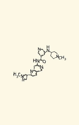 CN1CCC(Nc2cncc(C(=O)Nc3cc4nc(-c5cnn(C)c5)ccc4cn3)c2)CC1